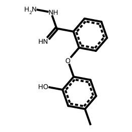 Cc1ccc(Oc2ccccc2C(=N)NN)c(O)c1